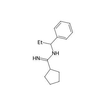 CCC(NC(=N)C1CCCC1)c1ccccc1